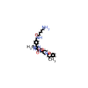 C[C@H](CC(=O)N1CCC(O)(Cn2cnc3c(-c4ccc(CNC(=O)CCCCCN)cc4)n(C)nc3c2=O)CC1)c1ccccc1